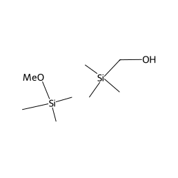 CO[Si](C)(C)C.C[Si](C)(C)CO